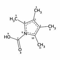 Cc1c(C)c(C)n(C(=O)O)c1C